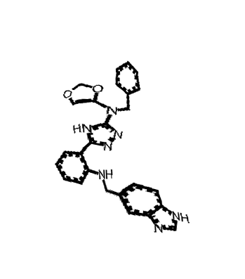 C1=C(N(Cc2ccccc2)c2nnc(-c3ccccc3NCc3ccc4[nH]cnc4c3)[nH]2)OCO1